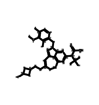 COc1c(C)cnc(Cn2nc3c4c(nc(N(C(=O)O)C(C)(C)C)nc42)SCC(CCN2CC(F)C2)=C3)c1C